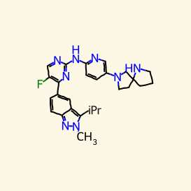 CC(C)c1c2cc(-c3nc(Nc4ccc(N5CCC6(CCCN6)C5)cn4)ncc3F)ccc2nn1C